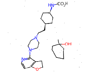 CC1(O)CCCCC1.O=C(O)N[C@H]1CC[C@@H](CCN2CCN(c3nccc4c3CCO4)CC2)CC1